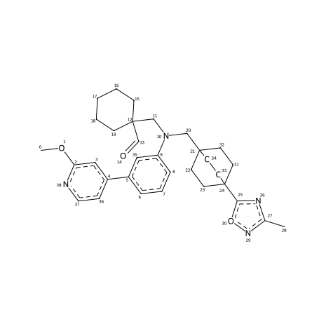 COc1cc(-c2cccc(N(CC3(C=O)CCCCC3)CC34CCC(c5nc(C)no5)(CC3)CC4)c2)ccn1